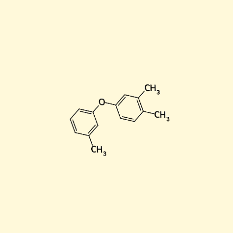 Cc1cccc(Oc2ccc(C)c(C)c2)c1